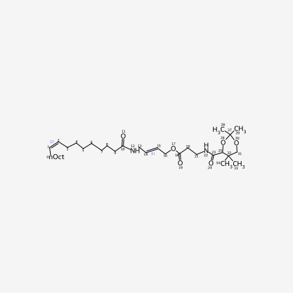 CCCCCCCC/C=C\CCCCCCCC(=O)NC/C=C/COC(=O)CCNC(=O)C1OC(C)(C)OCC1(C)C